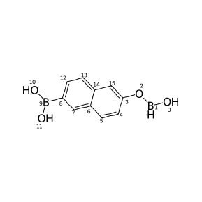 OBOc1ccc2cc(B(O)O)ccc2c1